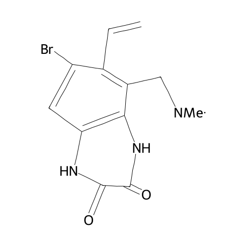 C=Cc1c(Br)cc2[nH]c(=O)c(=O)[nH]c2c1C[N]C